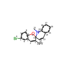 CC(C)C1=Cc2cc(Br)ccc2OC12C=Cc1ccccc1N2C